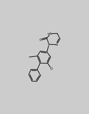 Cc1cc(N2N=CCNC2=O)cc(Cl)c1-c1ccccc1